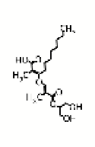 CCCCCCCC/C(O/C=C(\C)C(=O)OC(CO)CO)=C(/C)C(=O)O